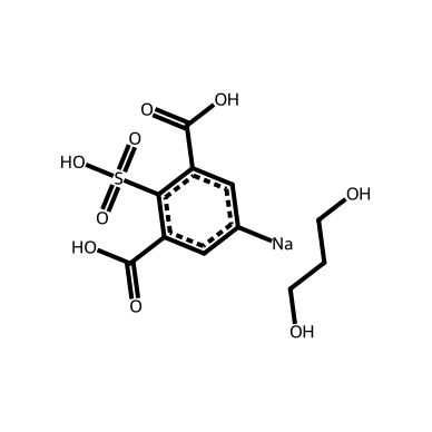 O=C(O)c1c[c]([Na])cc(C(=O)O)c1S(=O)(=O)O.OCCCO